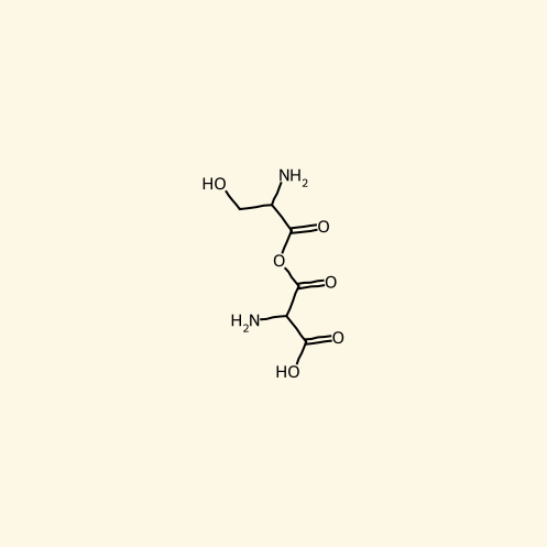 NC(CO)C(=O)OC(=O)C(N)C(=O)O